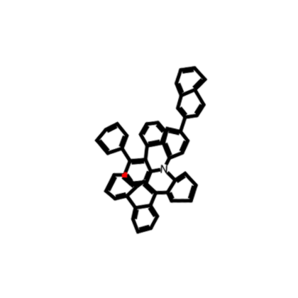 c1ccc(-c2cccc(N(c3ccc(-c4ccc5ccccc5c4)cc3)c3ccccc3-c3cc4ccccc4c4ccccc34)c2-c2ccccc2)cc1